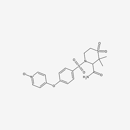 CC1(C)C(C(N)=O)N(S(=O)(=O)c2ccc(Oc3cc[n+]([O-])cc3)cc2)CCS1(=O)=O